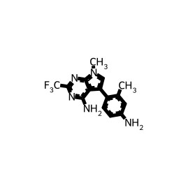 Cc1cc(N)ccc1-c1cn(C)c2nc(C(F)(F)F)nc(N)c12